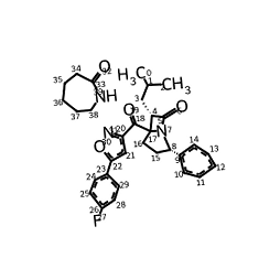 CC(C)C[C@@H]1C(=O)N2[C@H](c3ccccc3)CCC12C(=O)c1cc(-c2ccc(F)cc2)on1.O=C1CCCCCN1